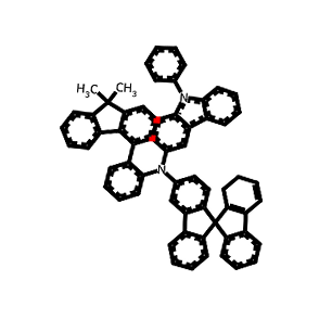 CC1(C)c2ccccc2-c2c(-c3ccccc3N(c3ccc4c(c3)-c3ccccc3C43C4=C(C=CCC4)c4ccccc43)c3ccc4c(c3)c3ccccc3n4-c3ccccc3)cccc21